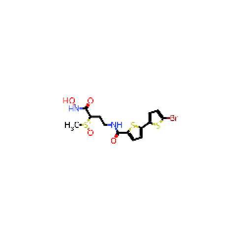 C[S+]([O-])C(CCNC(=O)c1ccc(-c2ccc(Br)s2)s1)C(=O)NO